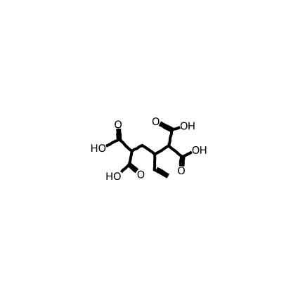 C=CC(CC(C(=O)O)C(=O)O)C(C(=O)O)C(=O)O